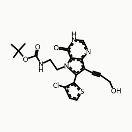 CC(C)(C)OC(=O)NCCn1c(-c2sccc2Cl)c(C#CCO)c2nc[nH]c(=O)c21